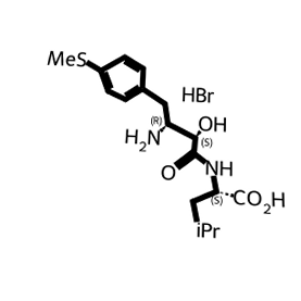 Br.CSc1ccc(C[C@@H](N)[C@H](O)C(=O)N[C@@H](CC(C)C)C(=O)O)cc1